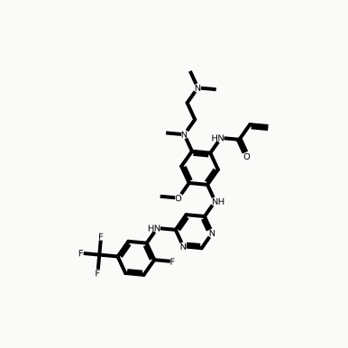 C=CC(=O)Nc1cc(Nc2cc(Nc3cc(C(F)(F)F)ccc3F)ncn2)c(OC)cc1N(C)CCN(C)C